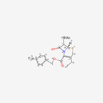 CC(=O)NC1C(=O)N2C(C(=O)OCc3ccc([N+](=O)[O-])cc3)=C(CI)CS[C@@H]12